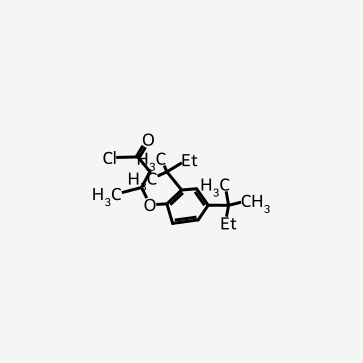 CCC(C)(C)c1ccc(OC(C)CC(=O)Cl)c(C(C)(C)CC)c1